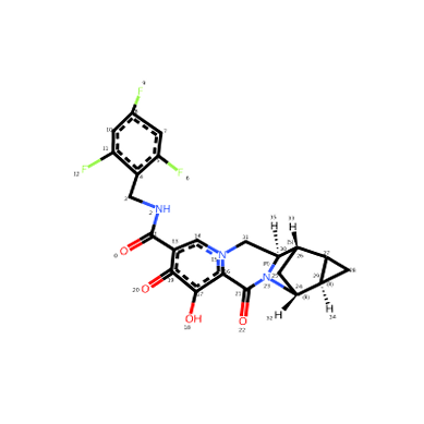 O=C(NCc1c(F)cc(F)cc1F)c1cn2c(c(O)c1=O)C(=O)N1[C@@H]3C[C@@H](C4C[C@H]43)[C@@H]1C2